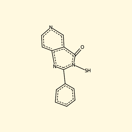 O=c1c2cnccc2nc(-c2ccccc2)n1S